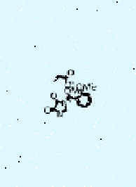 CCC(=O)[O-].COC(c1ccccc1OC)=[N+]1C=NC(=O)C1=O